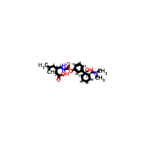 CC(C)CC(CNC(=O)Oc1cccc([C@]2(O)CCCC[C@@H]2CN(C)C)c1)CC(=O)O